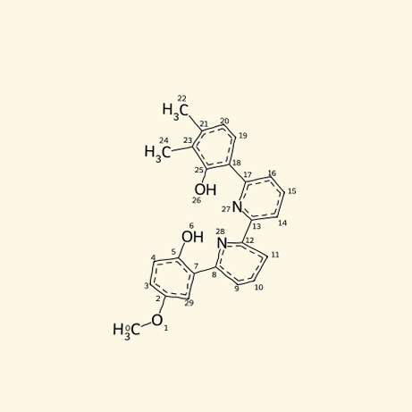 COc1ccc(O)c(-c2cccc(-c3cccc(-c4ccc(C)c(C)c4O)n3)n2)c1